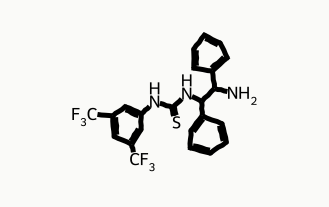 NC(c1ccccc1)C(NC(=S)Nc1cc(C(F)(F)F)cc(C(F)(F)F)c1)c1ccccc1